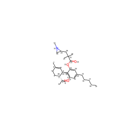 C=C(C)[C@@H]1CCC(C)=C[C@H]1c1c(O)cc(CCCCC)cc1OC(=O)C(C)(C)CC1CN1C